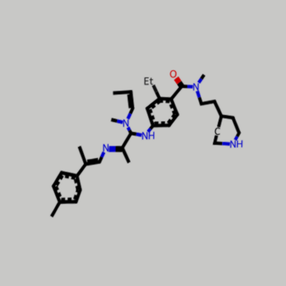 C/C=C\N(C)C(Nc1ccc(C(=O)N(C)CCC2CCNCC2)c(CC)c1)/C(C)=N/C=C(\C)c1ccc(C)cc1